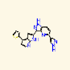 c1csc(-c2ccnc3[nH]c(-c4n[nH]c5ccc(-c6cn[nH]c6)nc45)cc23)c1